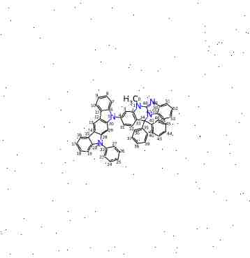 CN1c2cc(-n3c4ccccc4c4cc5c6ccccc6n(-c6ccccc6)c5cc43)ccc2C(c2ccccc2)(c2ccccc2)n2c1nc1ccccc12